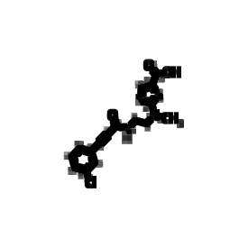 CN(CCNC(=O)C#Cc1cccc(Cl)c1)c1ncc(C(=O)O)s1